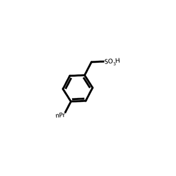 CCCc1ccc(CS(=O)(=O)O)cc1